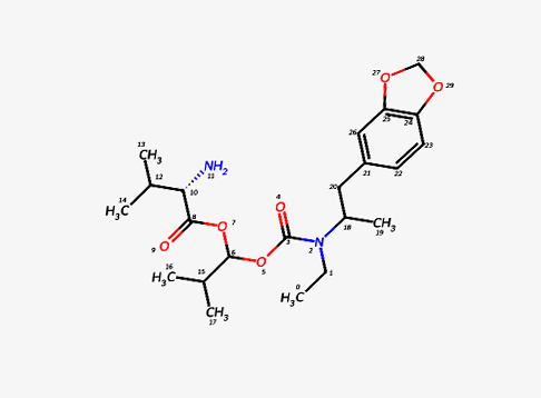 CCN(C(=O)OC(OC(=O)[C@@H](N)C(C)C)C(C)C)C(C)Cc1ccc2c(c1)OCO2